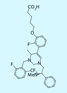 CN[C@@H](CN1C=C(c2cccc(OCCCCC(=O)O)c2F)C(C)N(Cc2c(F)cccc2C(F)(F)F)C1)c1ccccc1